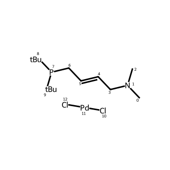 CN(C)CC=CCP(C(C)(C)C)C(C)(C)C.[Cl][Pd][Cl]